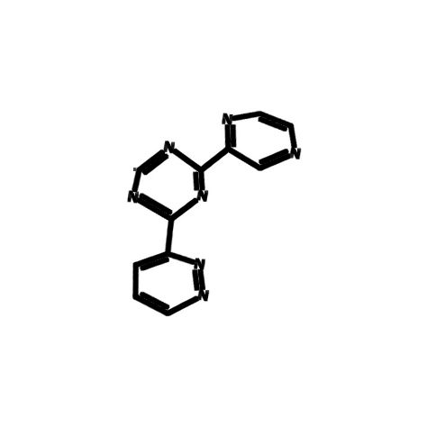 [c]1nc(-c2cnccn2)nc(-c2cccnn2)n1